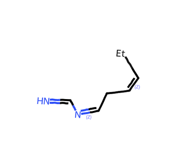 CC/C=C\C/C=N\C=N